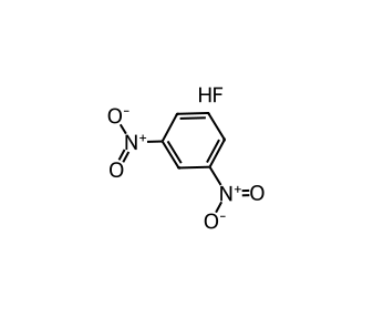 F.O=[N+]([O-])c1cccc([N+](=O)[O-])c1